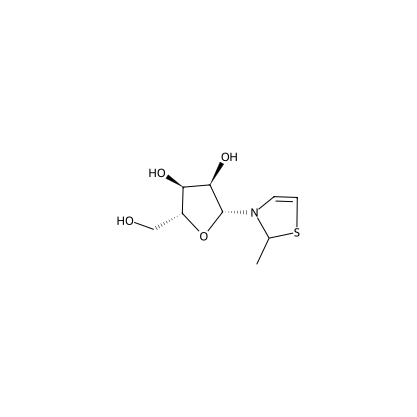 CC1SC=CN1[C@@H]1O[C@H](CO)[C@@H](O)[C@H]1O